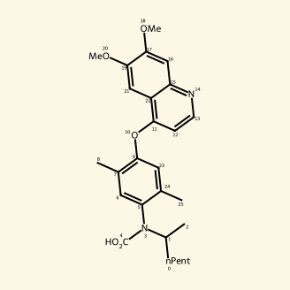 CCCCCC(C)N(C(=O)O)c1cc(C)c(Oc2ccnc3cc(OC)c(OC)cc23)cc1C